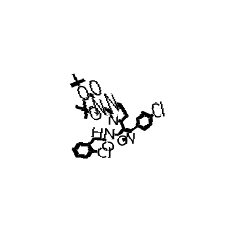 CC(C)(C)OC(=O)N(OC(C)(C)C)c1nccc(-c2c(-c3ccc(Cl)cc3)noc2NC(=O)Cc2ccccc2Cl)n1